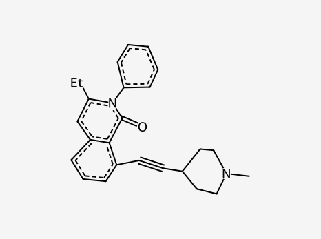 CCc1cc2cccc(C#CC3CCN(C)CC3)c2c(=O)n1-c1ccccc1